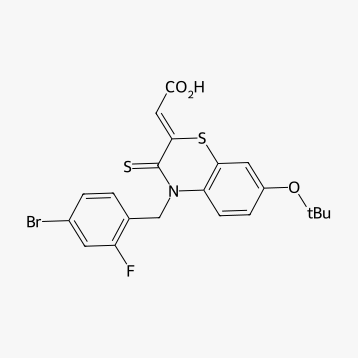 CC(C)(C)Oc1ccc2c(c1)SC(=CC(=O)O)C(=S)N2Cc1ccc(Br)cc1F